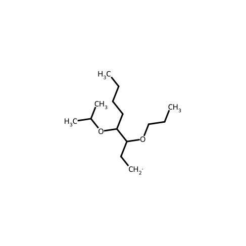 [CH2]CC(OCCC)C(CCCC)OC(C)C